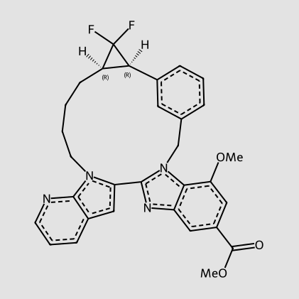 COC(=O)c1cc(OC)c2c(c1)nc1n2Cc2cccc(c2)[C@H]2[C@@H](CCCCn3c-1cc1cccnc13)C2(F)F